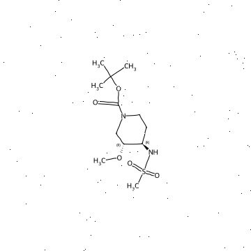 CO[C@@H]1CN(C(=O)OC(C)(C)C)CC[C@H]1NS(C)(=O)=O